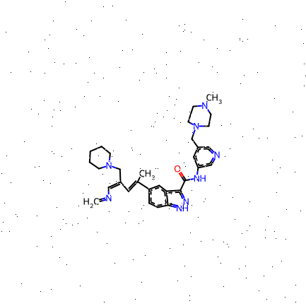 C=N/C=C(\C=C(/C)c1ccc2[nH]nc(C(=O)Nc3cncc(CN4CCN(C)CC4)c3)c2c1)CN1CCCCC1